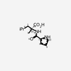 CC(C)C[C@](C)(NC(=O)c1ccc[nH]1)C(=O)O